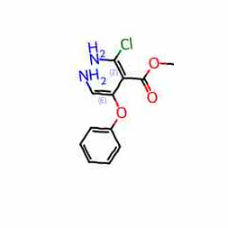 COC(=O)C(=C(/N)Cl)/C(=C\N)Oc1ccccc1